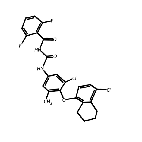 Cc1cc(NC(=O)NC(=O)c2c(F)cccc2F)cc(Cl)c1Oc1ccc(Cl)c2c1CCCC2